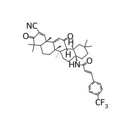 CC1(C)CC[C@]2(NC(=O)/C=C/c3ccc(C(F)(F)F)cc3)CC[C@]3(C)[C@H](C(=O)C=C4[C@@]5(C)C=C(C#N)C(=O)C(C)(C)C5CC[C@]43C)[C@@H]2C1